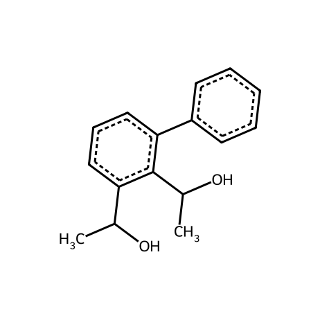 CC(O)c1cccc(-c2ccccc2)c1C(C)O